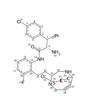 CC(C)C(c1ccc(Cl)cc1)[C@H](N)C(=O)Nc1cccc(F)c1CCC1CNC2C#CCN1[S+]([O-])CCC2